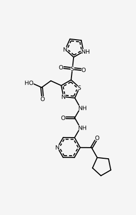 O=C(O)Cc1nc(NC(=O)Nc2cnccc2C(=O)C2CCCC2)sc1S(=O)(=O)c1ncc[nH]1